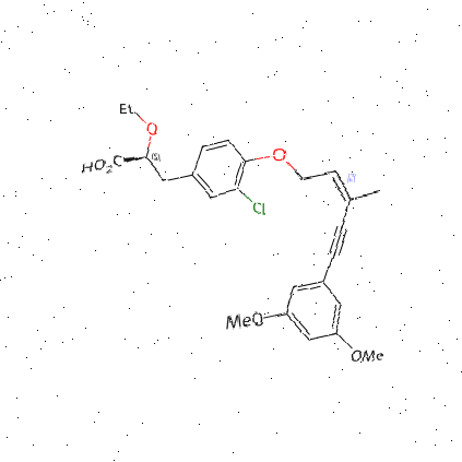 CCO[C@@H](Cc1ccc(OC/C=C(/C)C#Cc2cc(OC)cc(OC)c2)c(Cl)c1)C(=O)O